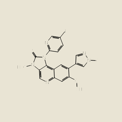 COc1cc2ncc3c(c2cc1-c1cnn(C)c1)n(-c1ccc(I)cn1)c(=O)n3C